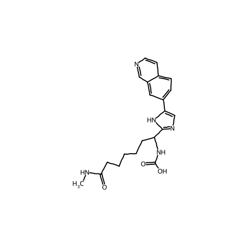 CNC(=O)CCCCCC(NC(=O)O)c1ncc(-c2ccc3ccncc3c2)[nH]1